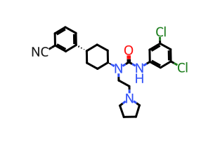 N#Cc1cccc([C@H]2CC[C@H](N(CCN3CCCC3)C(=O)Nc3cc(Cl)cc(Cl)c3)CC2)c1